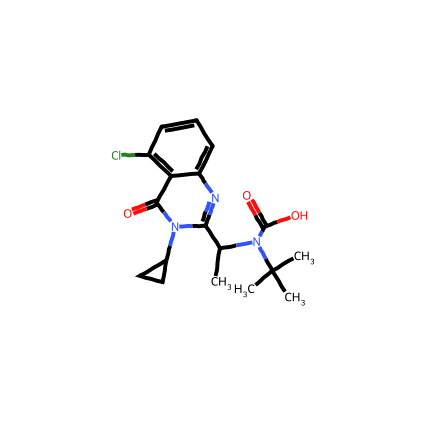 CC(c1nc2cccc(Cl)c2c(=O)n1C1CC1)N(C(=O)O)C(C)(C)C